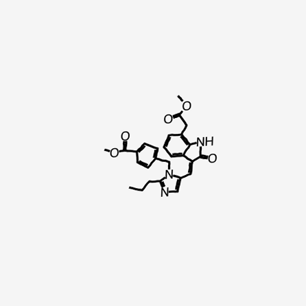 CCCc1ncc(/C=C2/C(=O)Nc3c(CC(=O)OC)cccc32)n1Cc1ccc(C(=O)OC)cc1